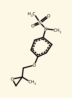 CN(c1ccc(OCC2(C)CO2)cc1)S(C)(=O)=O